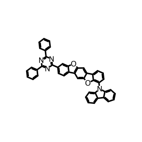 c1ccc(-c2nc(-c3ccccc3)nc(-c3ccc4c(c3)oc3cc5c(cc34)oc3c(-n4c6ccccc6c6ccccc64)cccc35)n2)cc1